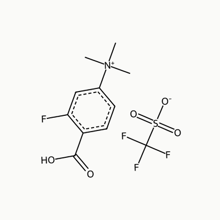 C[N+](C)(C)c1ccc(C(=O)O)c(F)c1.O=S(=O)([O-])C(F)(F)F